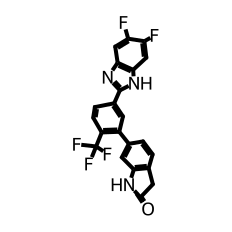 O=C1Cc2ccc(-c3cc(-c4nc5cc(F)c(F)cc5[nH]4)ccc3C(F)(F)F)cc2N1